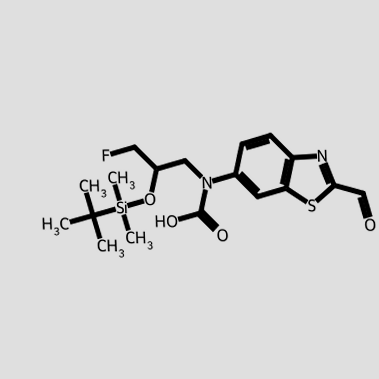 CC(C)(C)[Si](C)(C)OC(CF)CN(C(=O)O)c1ccc2nc(C=O)sc2c1